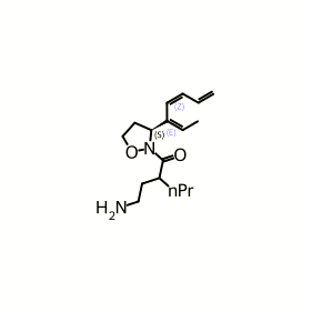 C=C/C=C\C(=C/C)[C@@H]1CCON1C(=O)C(CCC)CCN